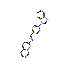 C(=N\c1ccc2ccncc2c1)/c1ccc(-n2cnc3ccccc32)cc1